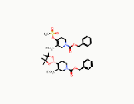 CCOC(=O)C1=C(B2OC(C)(C)C(C)(C)O2)CCN(C(=O)OCc2ccccc2)C1.CCOC(=O)C1=C(OS(=O)(=O)C(F)(F)F)CCN(C(=O)OCc2ccccc2)C1